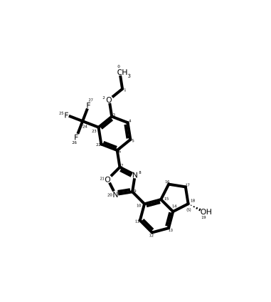 CCOc1ccc(-c2nc(-c3cccc4c3CC[C@@H]4O)no2)cc1C(F)(F)F